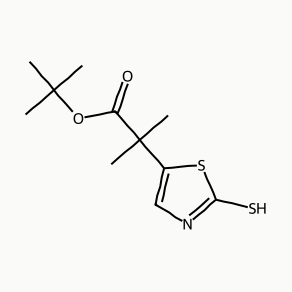 CC(C)(C)OC(=O)C(C)(C)c1cnc(S)s1